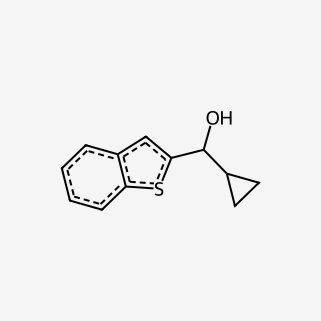 OC(c1cc2ccccc2s1)C1CC1